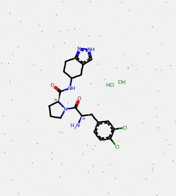 Cl.Cl.N[C@H](Cc1ccc(Cl)c(Cl)c1)C(=O)N1CCC[C@H]1C(=O)NC1CCc2n[nH]cc2C1